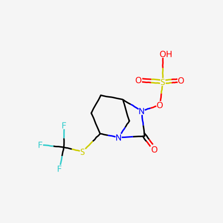 O=C1N2CC(CCC2SC(F)(F)F)N1OS(=O)(=O)O